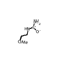 COCCN[S+](N)[O-]